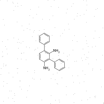 Nc1ccc(-c2ccccc2)c(N)c1-c1ccccc1